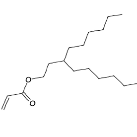 C=CC(=O)OCCC(CCCCCC)CCCCCC